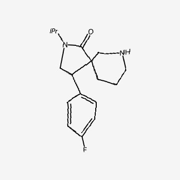 CC(C)N1CC(c2ccc(F)cc2)C2(CCCNC2)C1=O